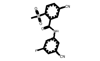 CS(=O)(=O)c1ccc(C#N)cc1C(=O)Nc1cc(F)cc(C#N)c1